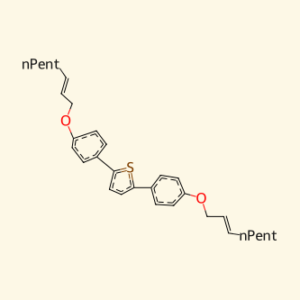 CCCCC/C=C/COc1ccc(-c2ccc(-c3ccc(OC/C=C/CCCCC)cc3)s2)cc1